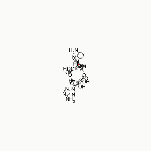 Nc1ncnc2c1ncn2[C@@H]1O[C@@H]2COP(=O)(O)O[C@@H]3[C@H](O)[C@@H](COP(=O)(O)O[C@H]2[C@H]1O)O[C@H]3n1nnc2c(N)cccc21